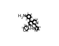 Nc1cccc(-c2cc(N3CCOCC3)nc3c(-c4ccn[nH]4)nccc23)c1